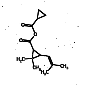 CC(C)=CC1C(C(=O)OC(=O)C2CC2)C1(C)C